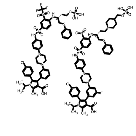 Cc1c(C(=O)O)c(-c2cc(F)cc(N3CCN(c4ccc(NS(=O)(=O)c5ccc(N[C@H](CCN6CCC(COP(=O)(O)O)CC6)CSc6ccccc6)c([N+](=O)[O-])c5)cc4)CC3)c2)c(-c2ccc(Cl)cc2)n1C(C)C.Cc1c(C(=O)O)c(-c2cccc(N3CCN(c4ccc(NS(=O)(=O)c5ccc(N[C@H](CCOP(=O)(O)O)CSc6ccccc6)c(S(=O)(=O)C(F)(F)F)c5)cc4)CC3)c2)c(-c2ccc(Cl)cc2)n1C(C)C